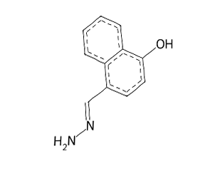 NN=Cc1ccc(O)c2ccccc12